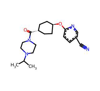 CC(C)N1CCN(C(=O)[C@H]2CC[C@H](Oc3ccc(C#N)cn3)CC2)CC1